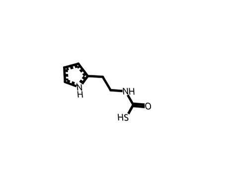 O=C(S)NCCc1ccc[nH]1